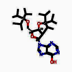 CC(C)[Si](OC[C@H]1O[C@@H](n2cnc3c(O)ncnc32)C[C@@H]1O[Si](C(C)C)(C(C)C)C(C)C)(C(C)C)C(C)C